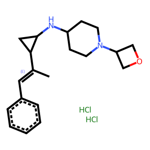 C/C(=C\c1ccccc1)C1CC1NC1CCN(C2COC2)CC1.Cl.Cl